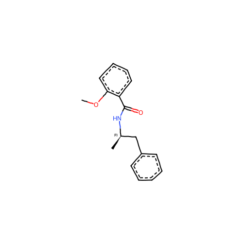 COc1ccccc1C(=O)N[C@H](C)Cc1ccccc1